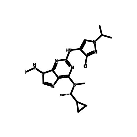 CC(C)n1cc(Nc2nc(N(C)[C@@H](C)C3CC3)c3ncn(PI)c3n2)c(Cl)n1